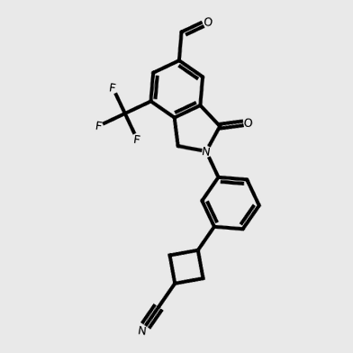 N#CC1CC(c2cccc(N3Cc4c(cc(C=O)cc4C(F)(F)F)C3=O)c2)C1